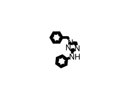 c1ccc(Cn2cnc(Nc3ccccc3)n2)cc1